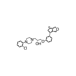 O[C@@H](COc1cccc(-c2csc3cocc23)c1)CN1CCN(c2ccccc2Cl)CC1